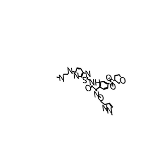 CN(C)CCN(C)c1ccc2nc(NC(=O)/C(=N/OCc3ccn(C)n3)c3ccc(S(=O)(=O)[C@H]4CCOC4)cc3)sc2n1